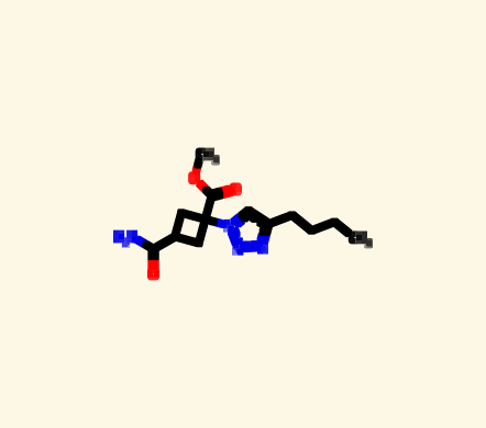 CCCCc1cn(C2(C(=O)OC)CC(C(N)=O)C2)nn1